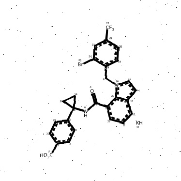 O=C(O)c1ccc(C2(NC(=O)c3cccc4ccn(Cc5ccc(C(F)(F)F)cc5Br)c34)CC2)cc1.[KH]